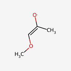 CO/C=C(\C)[O]